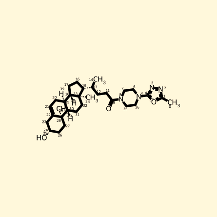 Cc1nnc(N2CCN(C(=O)CCC(C)[C@H]3CC[C@H]4[C@@H]5CC=C6C[C@@H](O)CC[C@]6(C)[C@H]5CC[C@]34C)CC2)o1